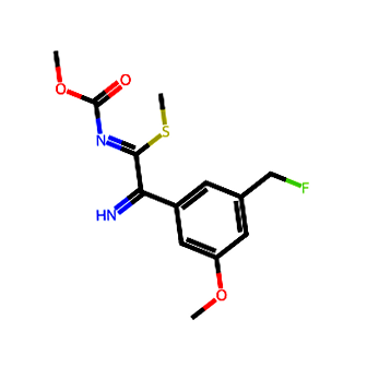 COC(=O)N=C(SC)C(=N)c1cc(CF)cc(OC)c1